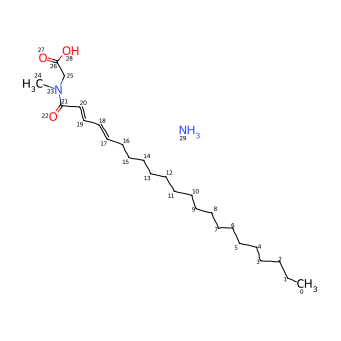 CCCCCCCCCCCCCCCCCC=CC=CC(=O)N(C)CC(=O)O.N